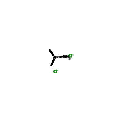 [CH3][Zr+2]([CH3])[SiH3].[Cl-].[Cl-]